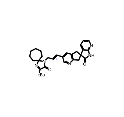 CC(C)(C)C1=NC2(CCCCCC2)N(C/C=C/c2cnc3c(c2)CC2(C3)C(=O)Nc3ncccc32)C1=O